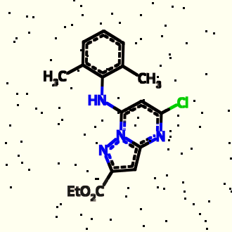 CCOC(=O)c1cc2nc(Cl)cc(Nc3c(C)cccc3C)n2n1